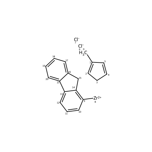 CC1=CCC=C1.[Cl-].[Cl-].[Zr+2][c]1cccc2c1Cc1ccccc1-2